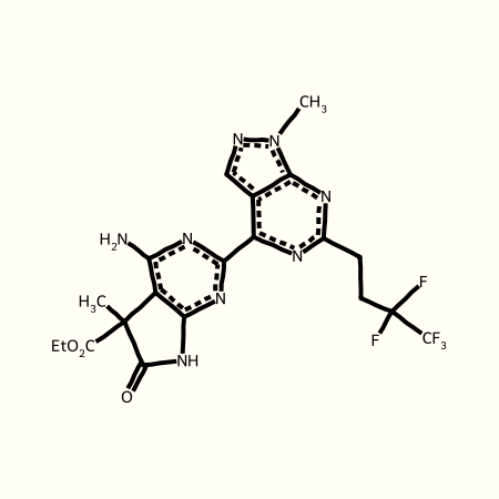 CCOC(=O)C1(C)C(=O)Nc2nc(-c3nc(CCC(F)(F)C(F)(F)F)nc4c3cnn4C)nc(N)c21